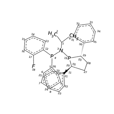 CC(C)N(P(c1ccccc1F)c1ccccc1F)P1[C@H](c2ccccc2)CC[C@H]1c1ccccc1